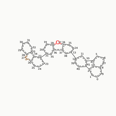 c1cc2c3c(cccc3c1)-c1cc(-c3ccc4oc5ccc(-c6cccc7sc8ccccc8c67)cc5c4c3)ccc1-2